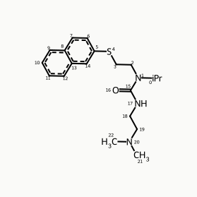 CC(C)N(CCSc1ccc2ccccc2c1)C(=O)NCCN(C)C